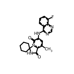 Cc1cc(Nc2ncnc3c(F)cccc23)c(=O)n2c1C(=O)NC21CCCCC1